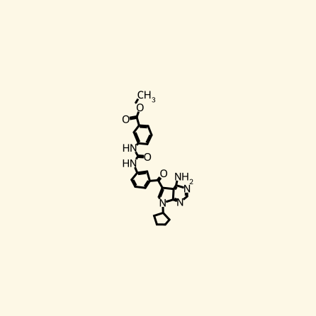 CCOC(=O)c1cccc(NC(=O)Nc2cccc(C(=O)c3cn(C4CCCC4)c4ncnc(N)c34)c2)c1